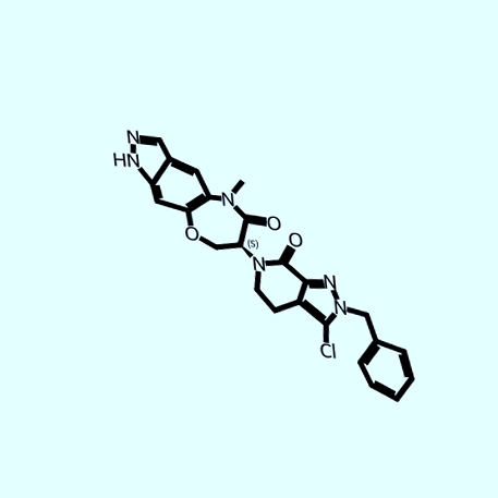 CN1C(=O)[C@@H](N2CCc3c(nn(Cc4ccccc4)c3Cl)C2=O)COc2cc3[nH]ncc3cc21